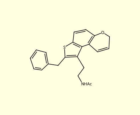 CC(=O)NCCc1c(Cc2ccccc2)sc2ccc3c(c12)C=CCO3